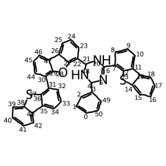 c1ccc(C2N=C(c3cccc4c3sc3ccccc34)NC(c3cccc4c3oc3c(-c5cccc6c5sc5ccccc56)cccc34)N2)cc1